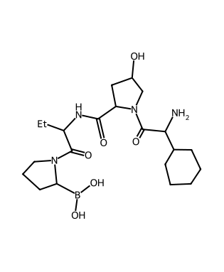 CCC(NC(=O)C1CC(O)CN1C(=O)C(N)C1CCCCC1)C(=O)N1CCCC1B(O)O